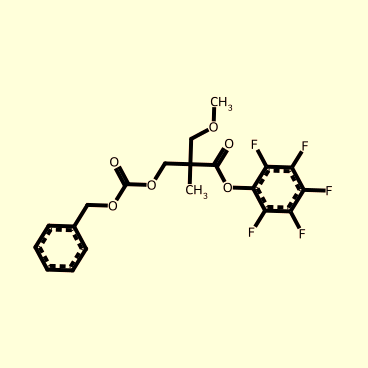 COCC(C)(COC(=O)OCc1ccccc1)C(=O)Oc1c(F)c(F)c(F)c(F)c1F